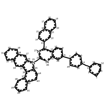 c1ccc(-c2ccc(-c3ccc4c(-c5ccc6ccccc6c5)nc(-n5c6cc7ccccc7cc6c6c7ccccc7ccc65)nc4c3)cc2)cc1